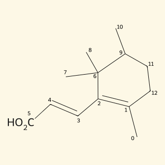 CC1=C(C=CC(=O)O)C(C)(C)C(C)CC1